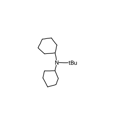 CC(C)(C)N(C1CCCCC1)C1CCCCC1